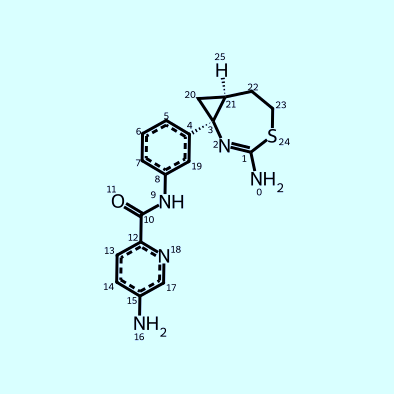 NC1=N[C@@]2(c3cccc(NC(=O)c4ccc(N)cn4)c3)C[C@H]2CCS1